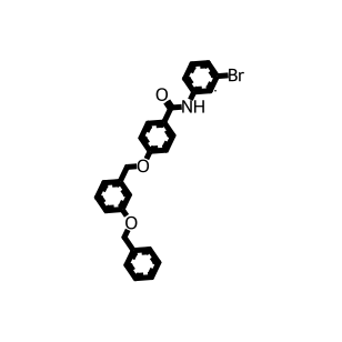 O=C(Nc1[c]c(Br)ccc1)c1ccc(OCc2cccc(OCc3ccccc3)c2)cc1